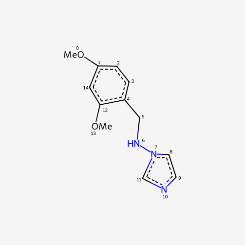 COc1ccc(CNn2ccnc2)c(OC)c1